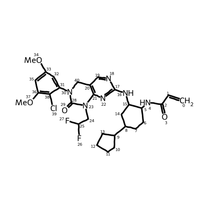 C=CC(=O)NC1CCC(C2CCCC2)CC1Nc1ncc2c(n1)N(CC(F)F)C(=O)N(c1cc(OC)cc(OC)c1Cl)C2